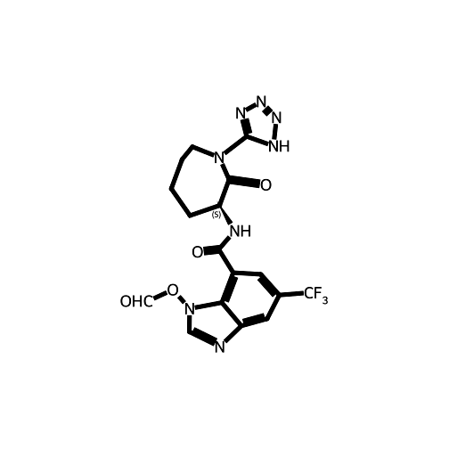 O=COn1cnc2cc(C(F)(F)F)cc(C(=O)N[C@H]3CCCCN(c4nnn[nH]4)C3=O)c21